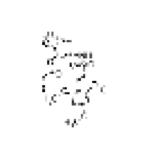 COc1cc(OC)c(/C=C/S(=O)(=O)Nc2ccc(OC)c(OC(=O)CCl)c2)c(OC)c1